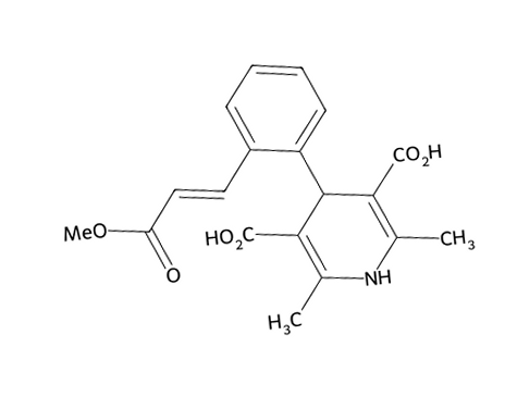 COC(=O)/C=C/c1ccccc1C1C(C(=O)O)=C(C)NC(C)=C1C(=O)O